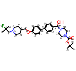 CC(C)(F)CN1CCC(COc2ccc(-c3ccc([C@@H](O)N4CCN(C(=O)OC(C)(C)C)CC4)cc3)cc2)CC1